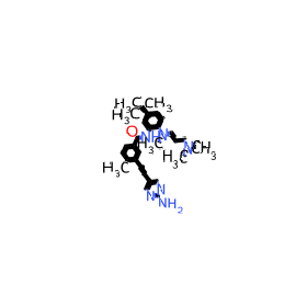 Cc1ccc(C(=O)Nc2cc(C(C)(C)C)ccc2N(C)CCCN(C)C)cc1C#Cc1cnc(N)nc1